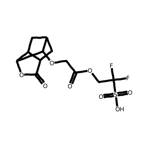 O=C(COC1C2CC3C(=O)OC1C3C2)OCC(F)(F)S(=O)(=O)O